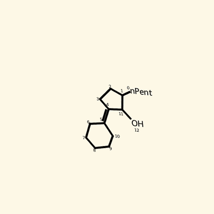 CCCCCC1CCC(=C2CCCCC2)C1O